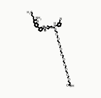 CCCCCc1cc2ccc(-c3cccc(S(=O)(=O)N4CC(CN/C(=N\CCOCCOCCOCCOCCOCCOCCOCCOCCOCCOCCC(=O)O)Nc5cccc(C#N)c5)C4)c3)cc2nc1N